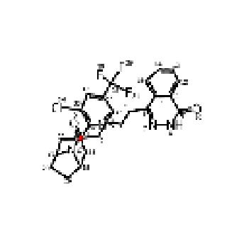 O=C(CCCCc1n[nH]c(=O)c2ccccc12)N1C2CCC1CN(c1ncc(C(F)(F)F)cc1Cl)C2